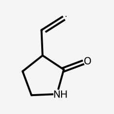 [CH]=CC1CCNC1=O